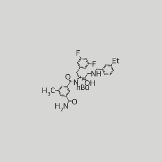 CCCCN(C(=O)c1cc(C)cc(C(N)=O)c1)[C@@H](Cc1cc(F)cc(F)c1)[C@H](O)CNCc1cccc(CC)c1